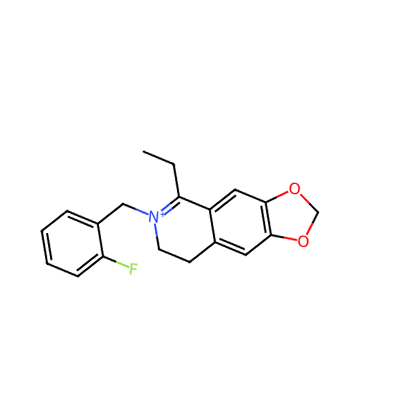 CCC1=[N+](Cc2ccccc2F)CCc2cc3c(cc21)OCO3